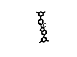 Cc1cc(C)cc(-c2ccc3c(c2)Cc2c-3oc3cc(-c4cc(C)cc(C)c4)ccc23)c1